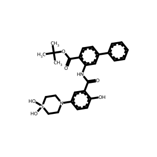 CC(C)(C)OC(=O)c1ccc(-c2ccccc2)cc1NC(=O)c1cc(N2CCS(O)(O)CC2)ccc1O